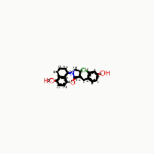 O=C1C(Cc2ccc(O)cc2Cl)CCN1C1CCCc2c(O)cccc21